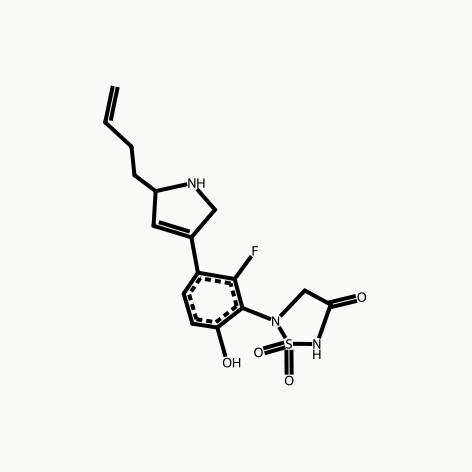 C=CCCC1C=C(c2ccc(O)c(N3CC(=O)NS3(=O)=O)c2F)CN1